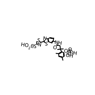 Cc1cc(C)c(C(C)(C)CC(=O)Nc2ccc3nc(C4=NC(SC(=O)O)CS4)sc3c2)c(OP(=O)(O)O)c1